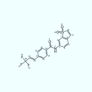 O=C(Nc1ccc2c(c1)S(=O)(=O)C=C2)c1ccc(C=CC(F)(F)F)cc1